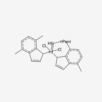 CCCCC[SiH]=[Hf]([Cl])([Cl])([CH]1C=Cc2c(C)ccc(C)c21)[CH]1C=Cc2c(C)ccc(C)c21